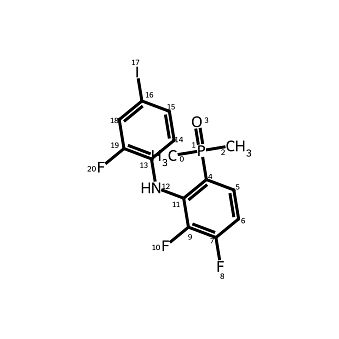 CP(C)(=O)c1ccc(F)c(F)c1Nc1ccc(I)cc1F